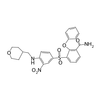 NC(=O)c1cccc(S(=O)(=O)c2ccc(NCC3CCOCC3)c([N+](=O)[O-])c2)c1Oc1ccccc1